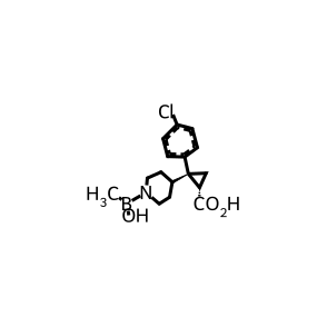 CB(O)N1CCC([C@@]2(c3ccc(Cl)cc3)C[C@@H]2C(=O)O)CC1